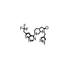 Cn1cc(CN2C(=O)CC3CCN(c4ncnc5sc(CC(F)(F)F)cc45)CC32)cn1